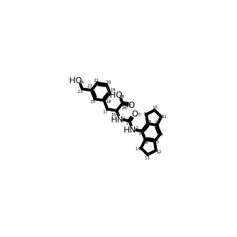 O=C(Nc1c2c(cc3c1CCC3)CCC2)NC(Cc1cccc(CO)c1)C(=O)O